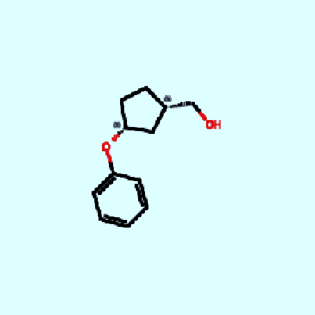 OC[C@H]1CC[C@@H](Oc2ccccc2)C1